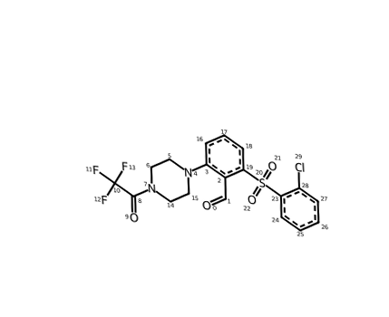 O=Cc1c(N2CCN(C(=O)C(F)(F)F)CC2)cccc1S(=O)(=O)c1ccccc1Cl